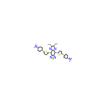 CCc1nc2c(-c3ccc(-c4ccc(N(C)C)cc4)s3)c3nsnc3c(-c3ccc(-c4ccc(N(C)C)cc4)s3)c2nc1CC